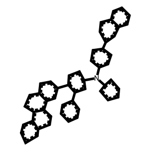 c1ccc(-c2cc(N(c3ccccc3)c3ccc(-c4ccc5ccccc5c4)cc3)ccc2-c2ccc3ccc4c5ccccc5ccc4c3c2)cc1